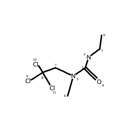 CC[N]C(=O)N(C)CC(Cl)(Cl)Cl